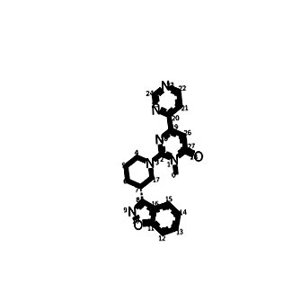 Cn1c(N2CCC[C@@H](c3noc4ccccc34)C2)nc(-c2ccncn2)cc1=O